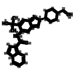 CC(C)(O)c1cc2nn([C@H]3CC[C@H](CO)CC3)cc2cc1NC(=O)c1ncn2cccnc12